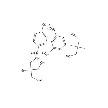 CC(C)(CO)CO.CCC(CO)(CO)CO.O=C(O)c1ccc(C(=O)O)cc1.O=C(O)c1cccc(C(=O)O)c1